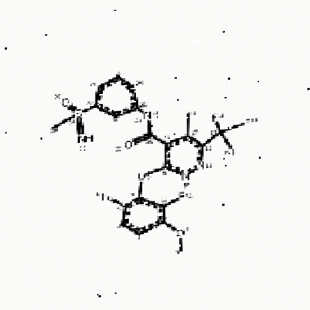 COc1ccc(F)c(Oc2nnc(C(F)(F)F)c(C)c2C(=O)Nc2cccc(S(C)(=N)=O)c2)c1F